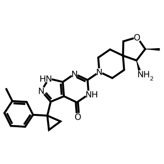 Cc1cccc(C2(c3n[nH]c4nc(N5CCC6(CC5)CO[C@@H](C)[C@H]6N)[nH]c(=O)c34)CC2)c1